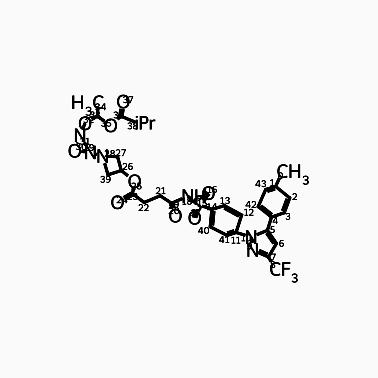 Cc1ccc(-c2cc(C(F)(F)F)nn2-c2ccc(S(=O)(=O)NC(=O)CCC(=O)OC3CN(n4on4OC(C)OC(=O)C(C)C)C3)cc2)cc1